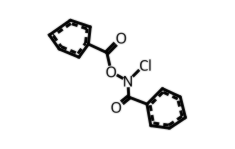 O=C(ON(Cl)C(=O)c1ccccc1)c1ccccc1